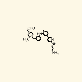 CC1CN(CC=O)CCN1Cc1cccc(Nc2cc(-c3ccc(NCCCN)nc3)ccn2)c1